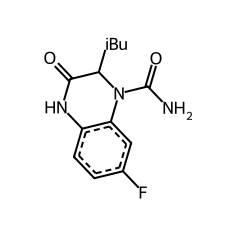 CCC(C)C1C(=O)Nc2ccc(F)cc2N1C(N)=O